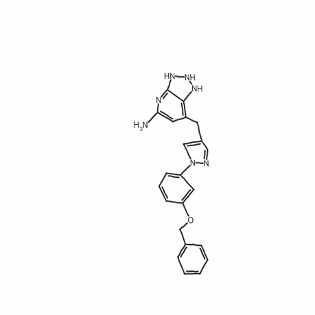 Nc1cc(Cc2cnn(-c3cccc(OCc4ccccc4)c3)c2)c2c(n1)NNN2